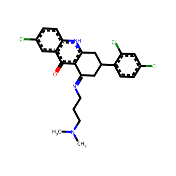 CN(C)CCCN=C1CC(c2ccc(Cl)cc2Cl)Cc2[nH]c3ccc(Cl)cc3c(=O)c21